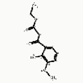 CCOC(=O)CC(=O)c1cccc(OC)c1O